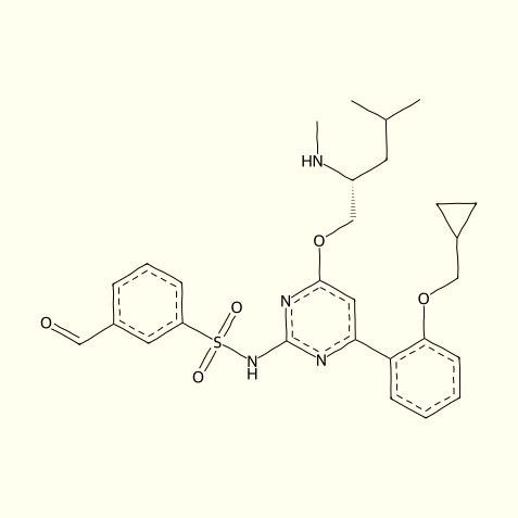 CN[C@@H](COc1cc(-c2ccccc2OCC2CC2)nc(NS(=O)(=O)c2cccc(C=O)c2)n1)CC(C)C